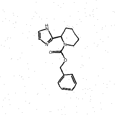 O=C(OCc1ccccc1)N1CCCCC1c1ncc[nH]1